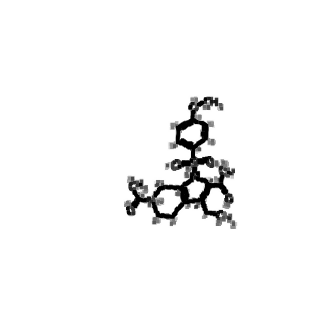 CCc1c2c(n(S(=O)(=O)c3ccc(OC)cc3)c1C(=O)O)CN(C(C)=O)CC2